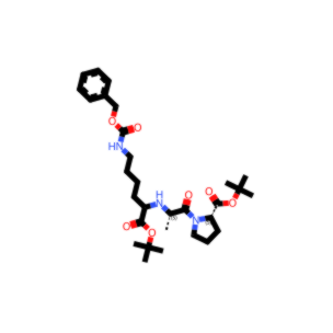 C[C@H](NC(CCCCNC(=O)OCc1ccccc1)C(=O)OC(C)(C)C)C(=O)N1CCC[C@H]1C(=O)OC(C)(C)C